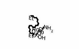 CC/C=C\C/C=C\C/C=C\C/C=C\C/C=C\CCC(CC)C(=O)O[C@@H](CO)COP(=O)(O)OCCN